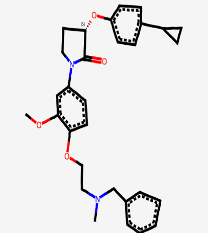 COc1cc(N2CC[C@H](Oc3ccc(C4CC4)cc3)C2=O)ccc1OCCN(C)Cc1ccccc1